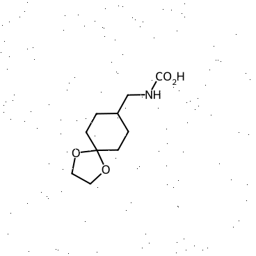 O=C(O)NCC1CCC2(CC1)OCCO2